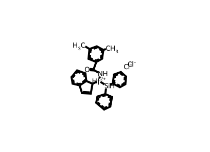 Cc1cc(C)cc(C(=O)[NH][Hf+2]([CH]2C=Cc3ccccc32)[SiH](c2ccccc2)c2ccccc2)c1.[Cl-].[Cl-]